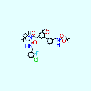 CC(C)(C)OC(=O)NCc1cccc(-c2cc(CC(=O)N3[C@@H]4CC[C@@H]4C[C@H]3C(=O)NCc3cccc(Cl)c3F)cc3ccoc23)c1